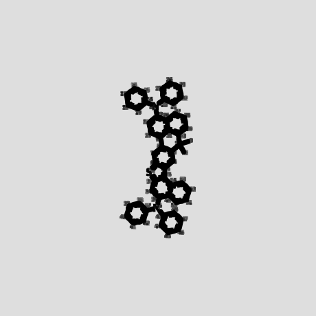 CC1(C)c2cc3c(cc2-c2ccc(N(c4ccccc4)c4ccccc4)c4cccc1c24)sc1cc(N(c2ccccc2)c2ccccc2)c2ccccc2c13